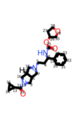 O=C(NC(CCN1CC2CN(C(=O)C3CC3)C[C@@H]2C1)c1ccccc1)OC1CCOC1